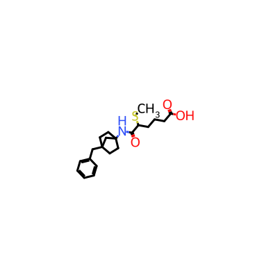 CSC(CCCC(=O)O)C(=O)NC12CCC(Cc3ccccc3)(CC1)C2